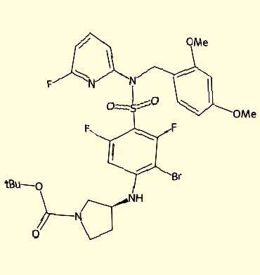 COc1ccc(CN(c2cccc(F)n2)S(=O)(=O)c2c(F)cc(N[C@H]3CCN(C(=O)OC(C)(C)C)C3)c(Br)c2F)c(OC)c1